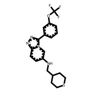 FC(F)(F)Oc1cccc(-c2nnc3ccc(NCC4CCSCC4)cn23)c1